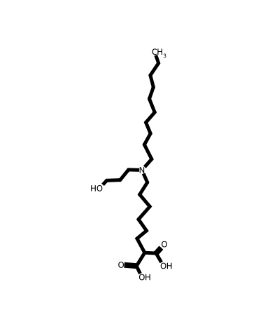 CCCCCCCCCCN(CCCO)CCCCCCC(C(=O)O)C(=O)O